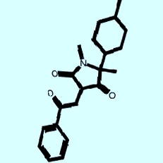 CC1CCC(C2(C)C(=O)C(CC(=O)c3ccccc3)C(=O)N2C)CC1